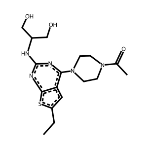 CCc1cc2c(N3CCN(C(C)=O)CC3)nc(NC(CO)CO)nc2s1